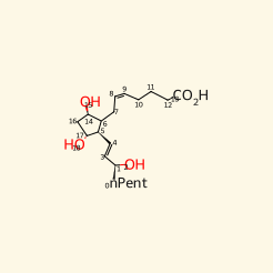 CCCCC[C@H](O)/C=C/[C@@H]1C(C/C=C\CCCC(=O)O)[C@H](O)C[C@H]1O